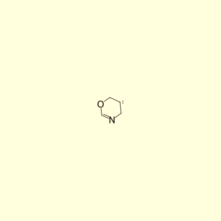 [C]1CN=COC1